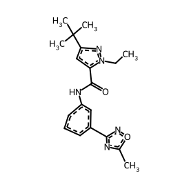 CCn1nc(C(C)(C)C)cc1C(=O)Nc1cccc(-c2noc(C)n2)c1